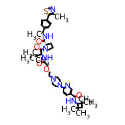 Cc1ncsc1-c1ccc([C@H](C)NC(=O)[C@@H]2CCCN2C(=O)[C@@H](NC(=O)COCCN2CCN(c3ccc(C(=O)NC4C(C)(C)CC4(C)C)cn3)CC2)C(C)(C)C)cc1